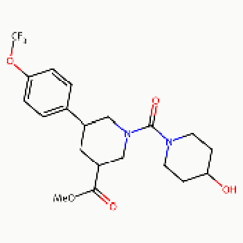 COC(=O)C1CC(c2ccc(OC(F)(F)F)cc2)CN(C(=O)N2CCC(O)CC2)C1